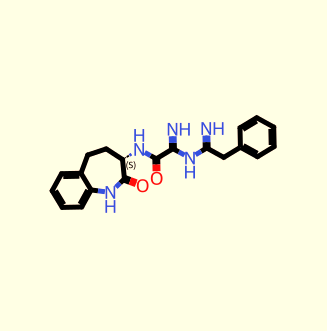 N=C(Cc1ccccc1)NC(=N)C(=O)N[C@H]1CCc2ccccc2NC1=O